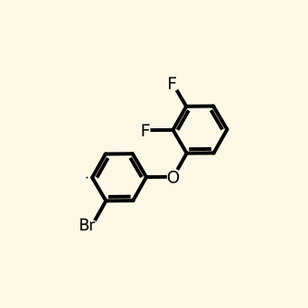 Fc1cccc(Oc2cc[c]c(Br)c2)c1F